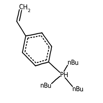 C=Cc1ccc([PH](CCCC)(CCCC)CCCC)cc1